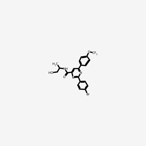 CC(CO)NC(=O)c1cc(-c2ccc(OC(F)(F)F)cc2)nc(-c2ccc(Br)cc2)n1